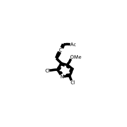 COc1cc(Cl)nc(Cl)c1C=C=CC(C)=O